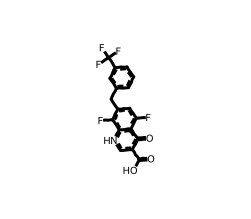 O=C(O)c1c[nH]c2c(F)c(Cc3cccc(C(F)(F)F)c3)cc(F)c2c1=O